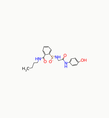 CCCCNC(=O)c1ccccc1[S+]([O-])NCC(=O)Nc1ccc(O)cc1